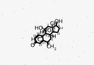 C=C1C[C@@H]2[C@H]([C@H](O)C[C@]3(C)[C@@H](O)CC[C@@]23O)[C@@]2(C)C=CC(=O)C=C12